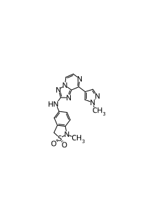 CN1c2ccc(Nc3nc4c(-c5cnn(C)c5)nccn4n3)cc2CS1(=O)=O